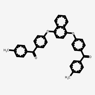 Cc1ccc(C(=O)c2ccc(Oc3ccc(Oc4ccc(C(=O)c5ccc(C)cc5)cc4)c4ccccc34)cc2)cc1